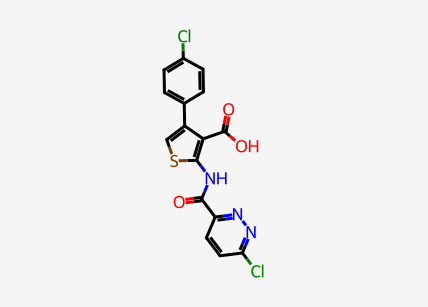 O=C(Nc1scc(-c2ccc(Cl)cc2)c1C(=O)O)c1ccc(Cl)nn1